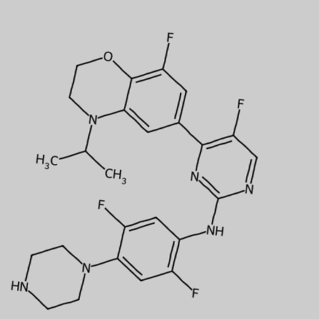 CC(C)N1CCOc2c(F)cc(-c3nc(Nc4cc(F)c(N5CCNCC5)cc4F)ncc3F)cc21